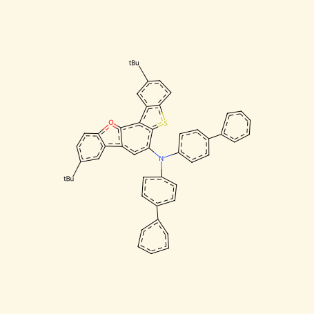 CC(C)(C)c1ccc2oc3c(cc(N(c4ccc(-c5ccccc5)cc4)c4ccc(-c5ccccc5)cc4)c4sc5ccc(C(C)(C)C)cc5c43)c2c1